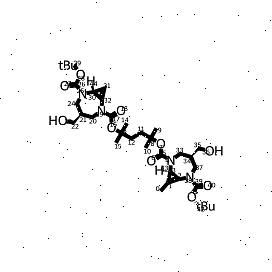 CC1=C2[C@@H]1N(C(=O)OC(C)(C)CCC(C)(C)OC(=O)N1C[C@@H](CO)CN(C(=O)OC(C)(C)C)[C@@H]3C=C31)C[C@@H](CO)CN2C(=O)OC(C)(C)C